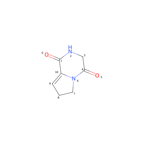 O=C1NCC(=O)N2CCC=C12